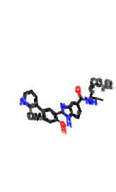 CCOC(=O)CC(C)NC(=O)c1ccc2[nH]c(-c3cc(-c4cccnc4OC)ccc3O)nc2c1